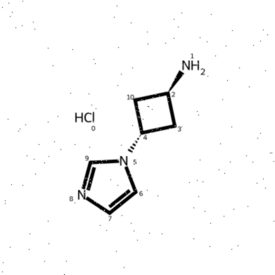 Cl.N[C@H]1C[C@H](n2ccnc2)C1